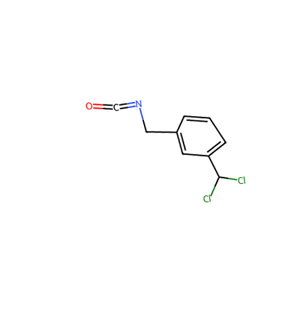 O=C=NCc1cccc(C(Cl)Cl)c1